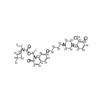 CCN(C(=O)OC(C)n1c(=O)ccc2ccc(OCCCCN3CCN(c4cccc(Cl)c4Cl)CC3)cc21)C1=CC(C)C1